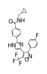 O=C(NCC1CC1)c1ccc(-c2nc(-c3c(-c4ccc(F)cc4)noc3C(F)(F)F)c[nH]2)cc1